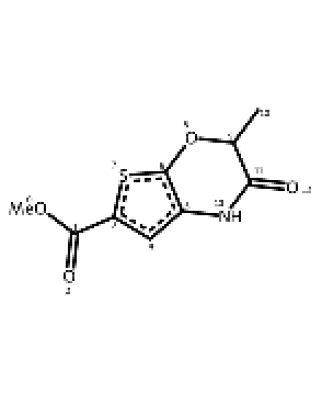 COC(=O)c1cc2c(s1)OC(C)C(=O)N2